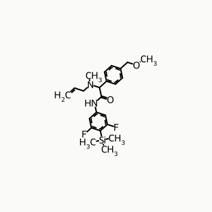 C=CCN(C)C(C(=O)Nc1cc(F)c([Si](C)(C)C)c(F)c1)c1ccc(COC)cc1